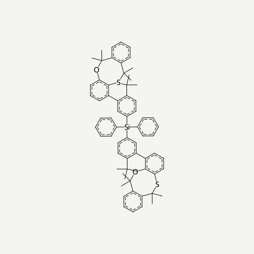 CC(C)(C)c1ccc([Si](c2ccccc2)(c2ccccc2)c2ccc(C(C)(C)C)c(-c3cccc4c3SC(C)(C)c3ccccc3C(C)(C)O4)c2)cc1-c1cccc2c1OC(C)(C)c1ccccc1C(C)(C)S2